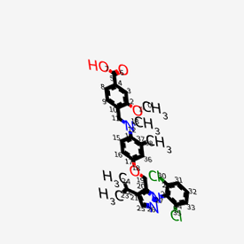 COc1cc(C(=O)O)ccc1CN(C)c1ccc(OCc2c(C(C)C)cnn2-c2c(Cl)cccc2Cl)cc1C